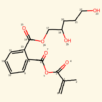 C=C(C)C(=O)OC(=O)c1ccccc1C(=O)OCC(O)CCCO